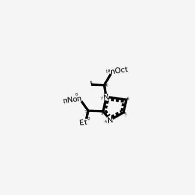 CCCCCCCCCC(CC)c1nccn1C(C)CCCCCCCC